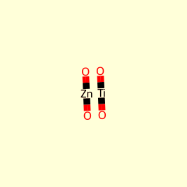 [O]=[Ti]=[O].[O]=[Zn]=[O]